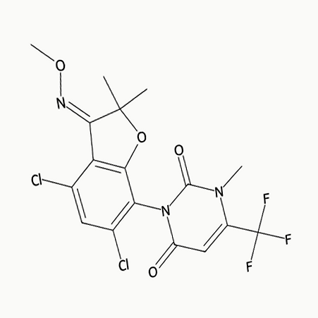 CO/N=C1/c2c(Cl)cc(Cl)c(-n3c(=O)cc(C(F)(F)F)n(C)c3=O)c2OC1(C)C